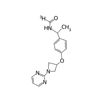 [3H]C(=O)NC(C)c1ccc(OC2CN(c3ncccn3)C2)cc1